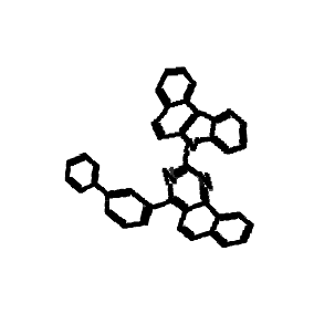 c1ccc(-c2cccc(-c3nc(-n4c5ccccc5c5c6ccccc6ccc54)nc4c3ccc3ccccc34)c2)cc1